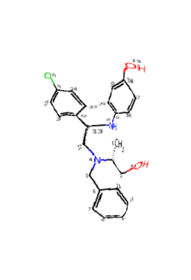 C[C@H](CO)N(Cc1ccccc1)C[C@H](Nc1ccc(O)cc1)c1ccc(Cl)cc1